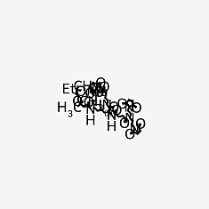 CCC(C)(CCOC(C)(C)CC(=O)NCCCC[C@H](NC(=O)CCC(=O)N(CCN1C(=O)C=CC1=O)CCN1C(=O)C=CC1=O)C(=O)NCCCC(=O)ON1C(=O)CCC1=O)OC